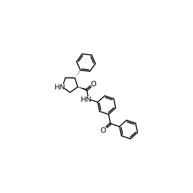 O=C(c1ccccc1)c1cccc(NC(=O)[C@H]2CNC[C@@H]2c2ccccc2)c1